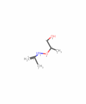 C=C(C)NOC(C)CO